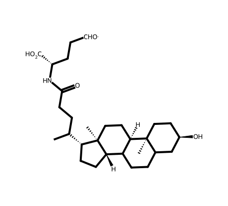 CC(CCC(=O)N[C@@H](CC[C]=O)C(=O)O)[C@H]1CC[C@H]2C3CCC4C[C@H](O)CC[C@]4(C)[C@@H]3CC[C@]12C